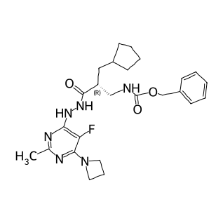 Cc1nc(NNC(=O)[C@@H](CNC(=O)OCc2ccccc2)CC2CCCC2)c(F)c(N2CCC2)n1